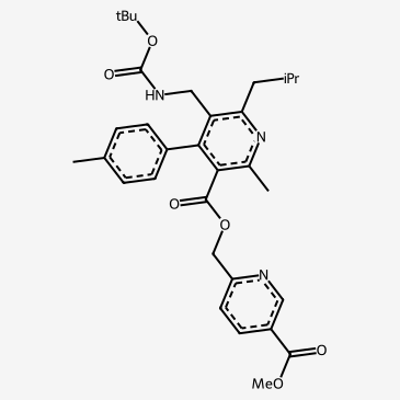 COC(=O)c1ccc(COC(=O)c2c(C)nc(CC(C)C)c(CNC(=O)OC(C)(C)C)c2-c2ccc(C)cc2)nc1